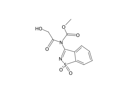 COC(=O)N(C(=O)CO)C1=NS(=O)(=O)c2ccccc21